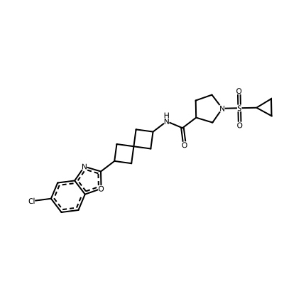 O=C(NC1CC2(C1)CC(c1nc3cc(Cl)ccc3o1)C2)C1CCN(S(=O)(=O)C2CC2)C1